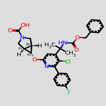 CC(C)(NC(=O)OCc1ccccc1)c1cc(O[C@@H]2[C@@H]3CN(C(=O)O)C[C@@H]32)nc(-c2ccc(F)cc2)c1Cl